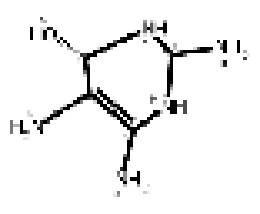 NC1=C(N)[C@H](O)NC(N)N1